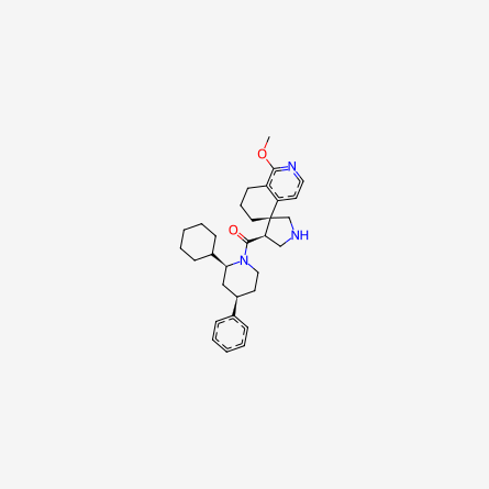 COc1nccc2c1CCC[C@]21CNC[C@H]1C(=O)N1CC[C@@H](c2ccccc2)C[C@H]1C1CCCCC1